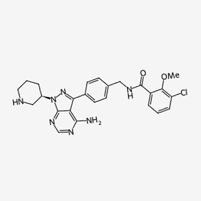 COc1c(Cl)cccc1C(=O)NCc1ccc(-c2nn([C@@H]3CCCNC3)c3ncnc(N)c23)cc1